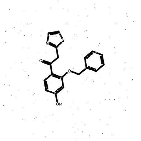 O=C(Cc1nccs1)c1ccc(O)cc1OCc1ccccc1